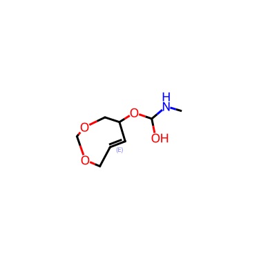 CNC(O)OC1/C=C/COCOC1